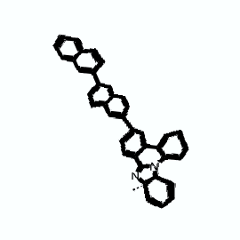 C[C@@]12C=CC=CC1N1C(=N2)c2ccc(-c3ccc4cc(-c5ccc6ccccc6c5)ccc4c3)cc2-c2ccccc21